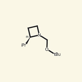 CC(C)[C@H]1CCN1COC(C)(C)C